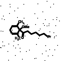 COC1(C(=O)CCCCCC(C)C)C(C)=CCC=C1C